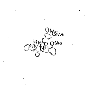 COc1cccc(CNC(=O)[C@@H](Cc2ccccc2)NC(=N)NC(=O)Cc2ccc(OC)c(OC)c2)c1